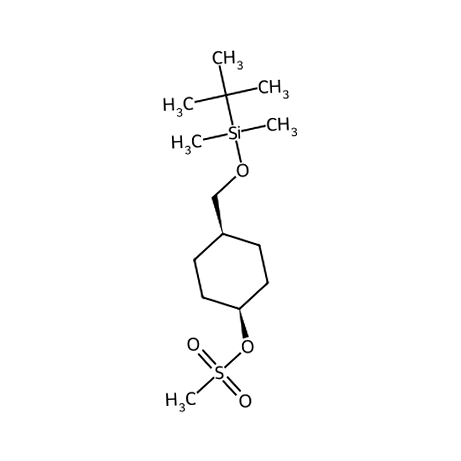 CC(C)(C)[Si](C)(C)OC[C@H]1CC[C@@H](OS(C)(=O)=O)CC1